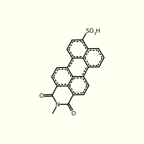 CN1C(=O)c2ccc3c4cccc5c(S(=O)(=O)O)ccc(c6ccc(c2c36)C1=O)c54